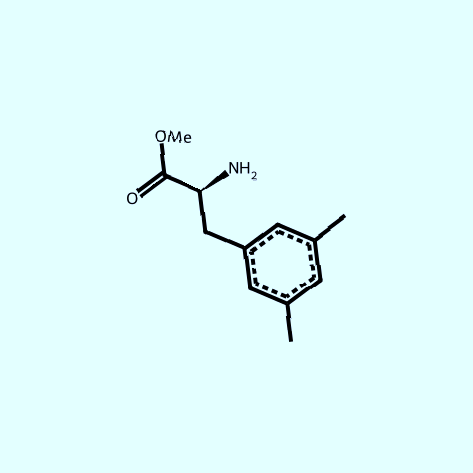 COC(=O)[C@@H](N)Cc1cc(C)cc(C)c1